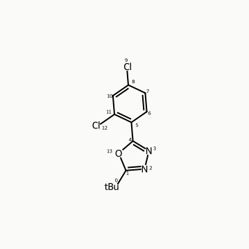 CC(C)(C)c1nnc(-c2ccc(Cl)cc2Cl)o1